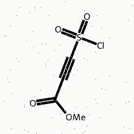 COC(=O)C#CS(=O)(=O)Cl